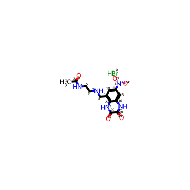 Br.CC(=O)NCCNCc1cc([N+](=O)[O-])cc2[nH]c(=O)c(=O)[nH]c12